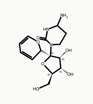 NC1CCN([C@]2(C3C=CC=CO3)O[C@H](CO)[C@@H](O)[C@H]2O)C(=O)N1